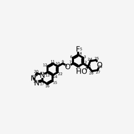 OC1(c2cc(F)cc(OCc3ccc4c(ccc5nncn54)c3)c2)CCOCC1